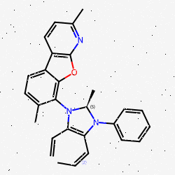 C=CC1=C(/C=C\C)N(c2ccccc2)[C@H](C)N1c1c(C)ccc2c1oc1nc(C)ccc12